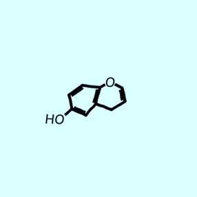 Oc1ccc2c(c1)CC=CO2